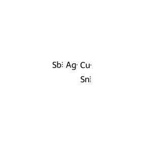 [Ag].[Cu].[Sb].[Sn]